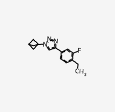 CCc1ccc(-c2cn(C34CC(C3)C4)nn2)cc1F